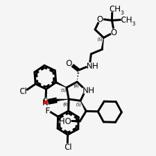 CC1(C)OC[C@H](CCNC(=O)[C@@H]2N[C@@H](C(CO)C3CCCCC3)[C@](C#N)(c3ccc(Cl)cc3F)[C@H]2c2cccc(Cl)c2F)O1